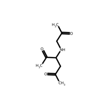 CC(=O)CNC(CC(C)=O)C(C)=O